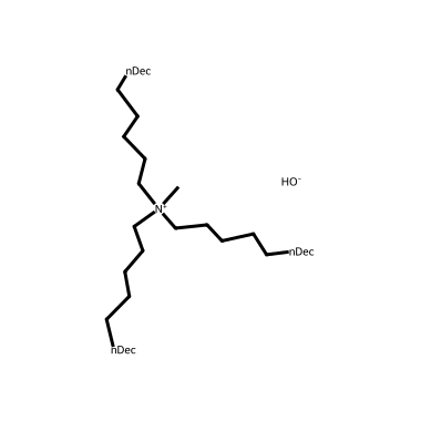 CCCCCCCCCCCCCCC[N+](C)(CCCCCCCCCCCCCCC)CCCCCCCCCCCCCCC.[OH-]